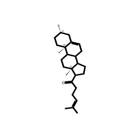 CC(C)=CCCC(=O)C1CCC2C3CC=C4C[C@@H](C)CC[C@]4(C)C3CC[C@]12C